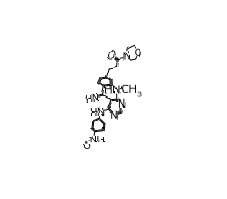 CNc1ncnc(Nc2ccc(NC=O)cc2)c1C(=N)c1ccc(CCC(=O)N2CCOCC2)cc1